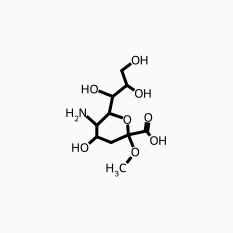 COC1(C(=O)O)CC(O)C(N)C(C(O)C(O)CO)O1